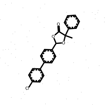 CC1(c2ccccc2)OC(c2ccc(-c3ccc(Cl)cc3)cc2)OC1=O